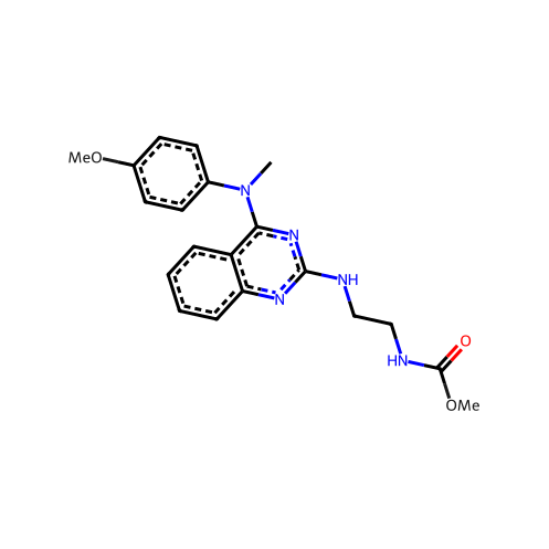 COC(=O)NCCNc1nc(N(C)c2ccc(OC)cc2)c2ccccc2n1